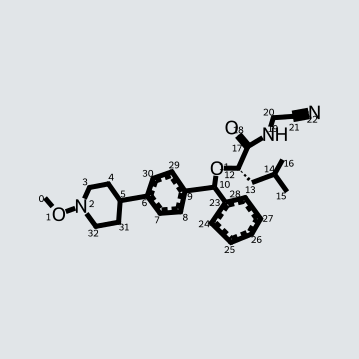 CON1CCC(c2ccc(C(O[C@@H](CC(C)C)C(=O)NCC#N)c3ccccc3)cc2)CC1